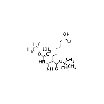 CC(C)(C)OC(=O)NC(=N)N(CCCCCC(=O)O)C(=O)OC(C)(C)C